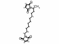 CC(CCCCCCCCCCN1C(=O)C=CC1=O)N1C(=O)C=CC1=O